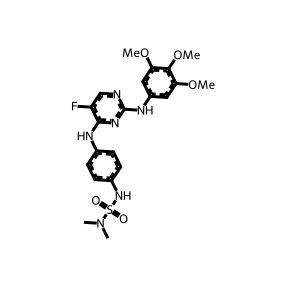 COc1cc(Nc2ncc(F)c(Nc3ccc(NS(=O)(=O)N(C)C)cc3)n2)cc(OC)c1OC